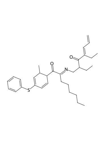 C=C/C=C(\CC)C(=O)C(CC)C/N=C(\CCCCCC)C(=O)C1C=CC(Sc2ccccc2)=CC1C